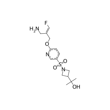 CC(C)(O)C1CN(S(=O)(=O)c2ccc(OC/C(=C/F)CN)nc2)C1